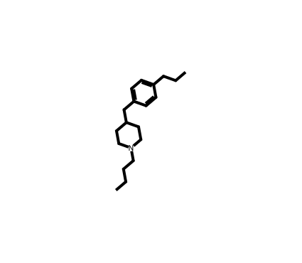 CCCCN1CCC(Cc2ccc(CCC)cc2)CC1